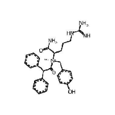 C[N@+](Cc1ccc(O)cc1)(C(=O)C(c1ccccc1)c1ccccc1)C(CCCNC(=N)N)C(N)=O